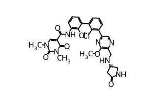 COc1nc(-c2cccc(-c3cccc(NC(=O)c4cn(C)c(=O)n(C)c4=O)c3Cl)c2Cl)cnc1CN[C@@H]1CNC(=O)C1